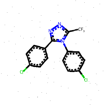 FC(F)(F)c1nnc(-c2ccc(Cl)cc2)n1-c1ccc(Cl)cc1